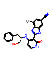 Cc1cc(C#N)cc2[nH]c(-c3c(N[C@H](CO)Cc4ccccc4)cc[nH]c3=O)nc12